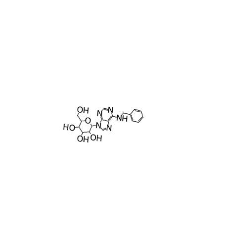 OCC1OC(n2cnc3c(NCc4ccccc4)ncnc32)C(O)C(O)C1O